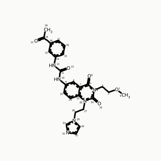 COCCn1c(=O)c2cc(NC(=O)Nc3cccc(C(C)=O)c3)ccc2n(CCn2ccnc2)c1=O